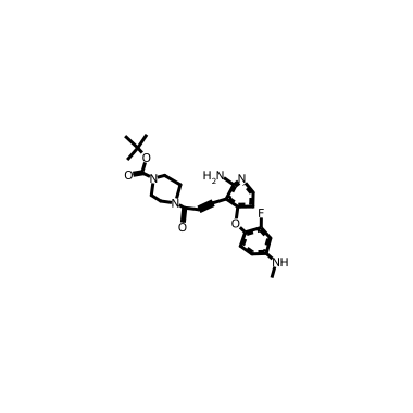 CNc1ccc(Oc2ccnc(N)c2C#CC(=O)N2CCN(C(=O)OC(C)(C)C)CC2)c(F)c1